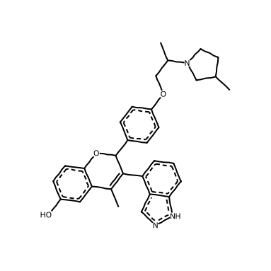 CC1=C(c2cccc3[nH]ncc23)C(c2ccc(OCC(C)N3CCC(C)C3)cc2)Oc2ccc(O)cc21